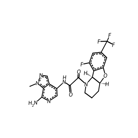 Cn1ncc2c(NC(=O)C(=O)N3CCC[C@@H]4Oc5cc(C(F)(F)F)cc(F)c5[C@@H]43)cnc(N)c21